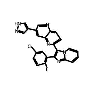 Fc1ccc(Cl)cc1-c1nc2ccccn2c1-c1ccc2ncc(-c3cn[nH]c3)cc2n1